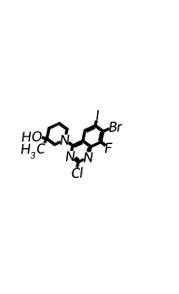 CC1(O)CCCN(c2nc(Cl)nc3c(F)c(Br)c(I)cc23)C1